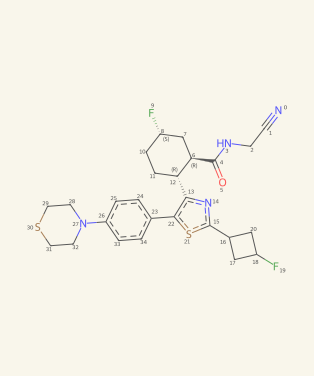 N#CCNC(=O)[C@@H]1C[C@@H](F)CC[C@H]1c1nc(C2CC(F)C2)sc1-c1ccc(N2CCSCC2)cc1